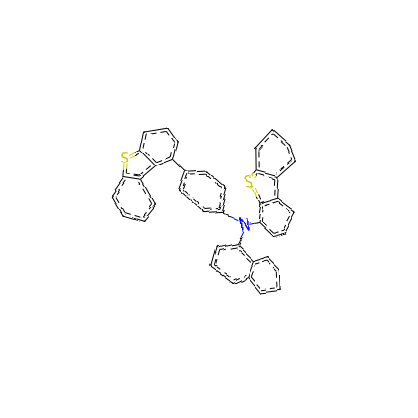 c1ccc2c(N(c3ccc(-c4cccc5sc6ccccc6c45)cc3)c3cccc4c3sc3ccccc34)cccc2c1